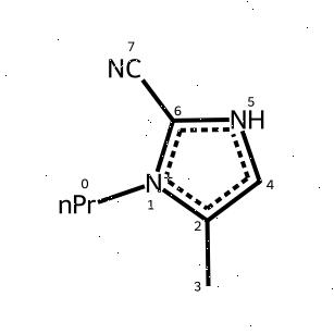 CCC[n+]1c(C)c[nH]c1C#N